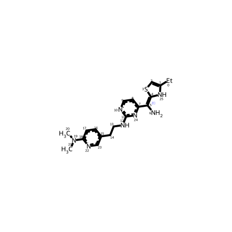 CCC1=CS/C(=C(/N)c2ccnc(NCCc3ccc(N(C)C)nc3)n2)N1